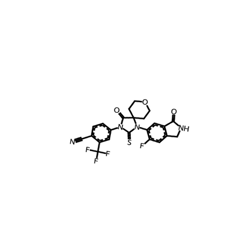 N#Cc1ccc(N2C(=O)C3(CCOCC3)N(c3cc4c(cc3F)CNC4=O)C2=S)cc1C(F)(F)F